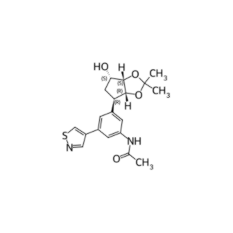 CC(=O)Nc1cc(-c2cnsc2)cc([C@H]2C[C@H](O)[C@@H]3OC(C)(C)O[C@@H]32)c1